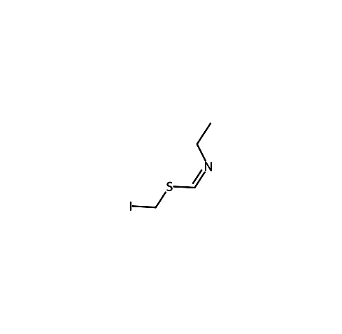 CC/N=C\SCI